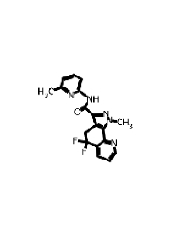 Cc1cccc(NC(=O)c2nn(C)c3c2CC(F)(F)c2cccnc2-3)n1